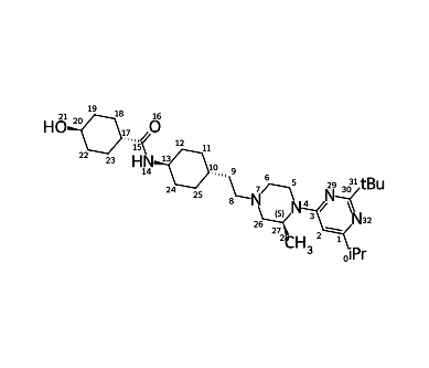 CC(C)c1cc(N2CCN(CC[C@H]3CC[C@H](NC(=O)[C@H]4CC[C@H](O)CC4)CC3)C[C@@H]2C)nc(C(C)(C)C)n1